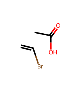 C=CBr.CC(=O)O